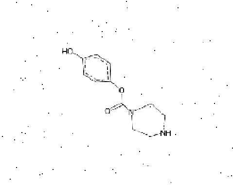 O=C(Oc1ccc(O)cc1)N1CCNCC1